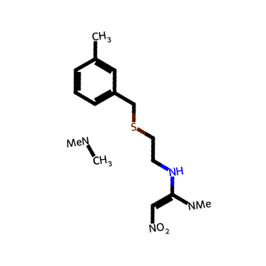 CNC.CNC(=C[N+](=O)[O-])NCCSCc1cccc(C)c1